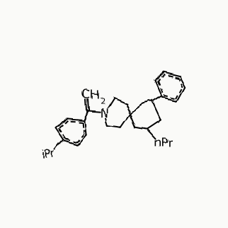 C=C(c1ccc(C(C)C)cc1)N1CCC2(CC1)CC(CCC)CC(c1ccccc1)C2